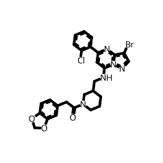 O=C(Cc1ccc2c(c1)OCO2)N1CCCC(CNc2cc(-c3ccccc3Cl)nc3c(Br)cnn23)C1